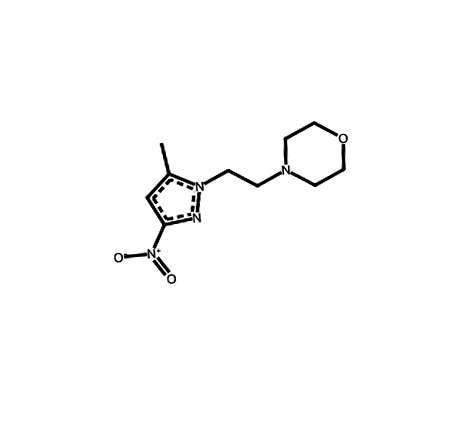 Cc1cc([N+](=O)[O-])nn1CCN1CCOCC1